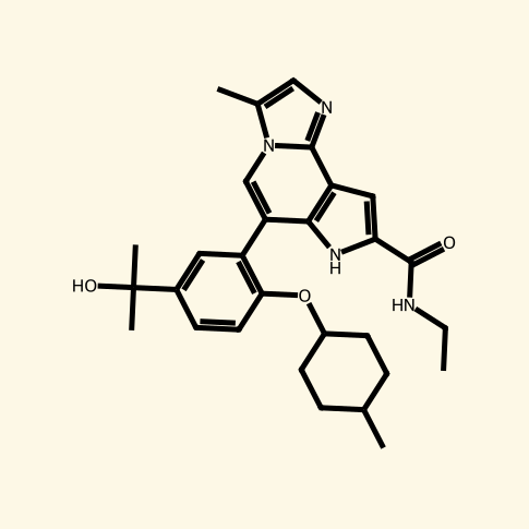 CCNC(=O)c1cc2c([nH]1)c(-c1cc(C(C)(C)O)ccc1OC1CCC(C)CC1)cn1c(C)cnc21